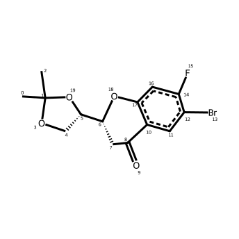 CC1(C)OC[C@@H]([C@H]2CC(=O)c3cc(Br)c(F)cc3O2)O1